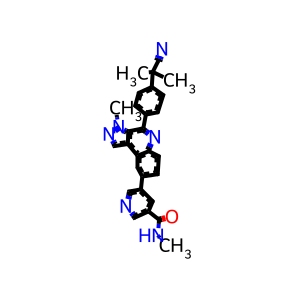 CNC(=O)c1cncc(-c2ccc3nc(-c4ccc(C(C)(C)C#N)cc4)c4c(cnn4C)c3c2)c1